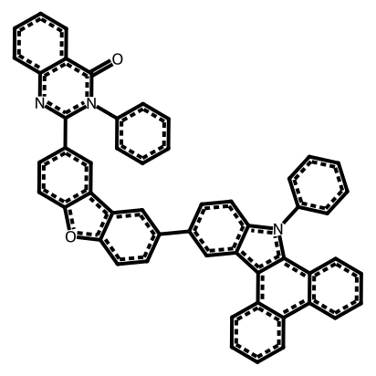 O=c1c2ccccc2nc(-c2ccc3oc4ccc(-c5ccc6c(c5)c5c7ccccc7c7ccccc7c5n6-c5ccccc5)cc4c3c2)n1-c1ccccc1